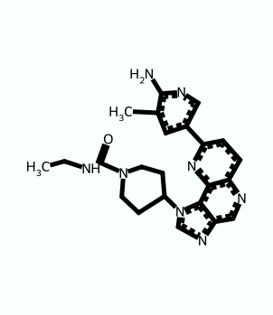 CCNC(=O)N1CCC(n2cnc3cnc4ccc(-c5cnc(N)c(C)c5)nc4c32)CC1